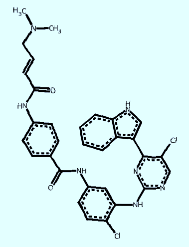 CN(C)C/C=C/C(=O)Nc1ccc(C(=O)Nc2ccc(Cl)c(Nc3ncc(Cl)c(-c4c[nH]c5ccccc45)n3)c2)cc1